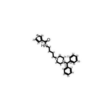 O=C(NCCCCN1CCN(C(c2ccccc2)c2ccccc2)CC1)c1ccsc1